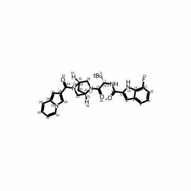 CC(C)(C)[C@H](NC(=O)c1cc2cccc(F)c2[nH]1)C(=O)N1C[C@@H]2C[C@H]1CN2C(=O)c1cc2ccccn2c1